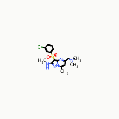 CNc1nn2c(C)cc(CN(C)C)nc2c1S(=O)(=O)c1cccc(Cl)c1